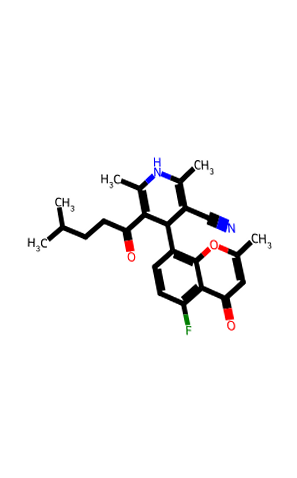 CC1=C(C#N)C(c2ccc(F)c3c(=O)cc(C)oc23)C(C(=O)CCC(C)C)=C(C)N1